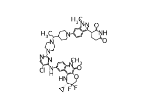 CC(C1CCN(c2ccc3c(C4CCC(=O)NC4=O)nn(C)c3c2)CC1)N1CCN(c2ncc(Cl)c(Nc3ccc4c(c3)c3c(c(=O)n4C)OCC(F)(F)[C@H](C4CC4)N3)n2)CC1